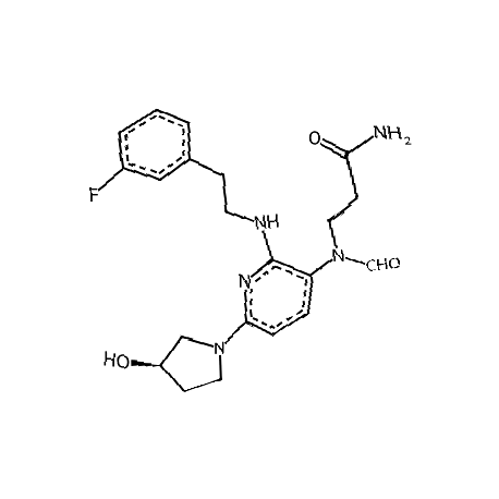 NC(=O)CCN(C=O)c1ccc(N2CC[C@@H](O)C2)nc1NCCc1cccc(F)c1